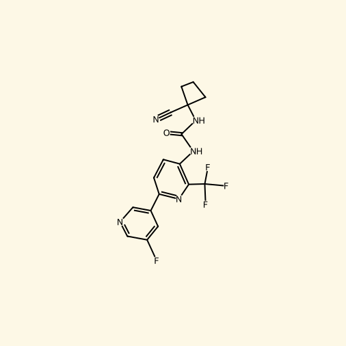 N#CC1(NC(=O)Nc2ccc(-c3cncc(F)c3)nc2C(F)(F)F)CCC1